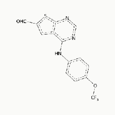 O=Cc1cc2c(Nc3ccc(OC(F)(F)F)cc3)ncnc2s1